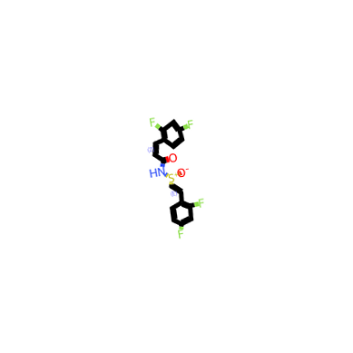 O=C(/C=C\c1ccc(F)cc1F)N[S+]([O-])/C=C/c1ccc(F)cc1F